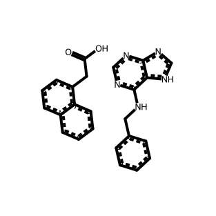 O=C(O)Cc1cccc2ccccc12.c1ccc(CNc2ncnc3nc[nH]c23)cc1